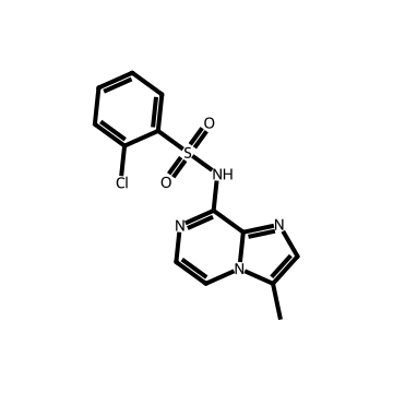 Cc1cnc2c(NS(=O)(=O)c3ccccc3Cl)nccn12